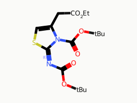 CCOC(=O)Cc1cs/c(=N/C(=O)OC(C)(C)C)n1C(=O)OC(C)(C)C